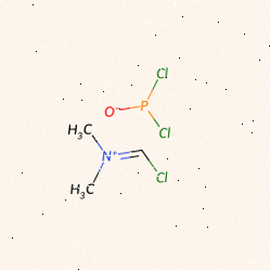 C[N+](C)=CCl.[O-]P(Cl)Cl